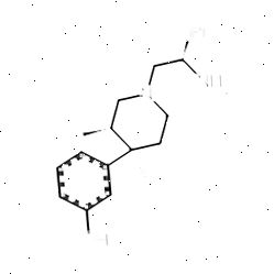 CC(C)[C@@H](N)CN1CC[C@@](C)(c2cccc(O)c2)[C@@H](C)C1